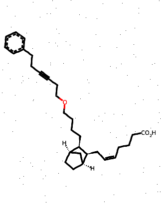 O=C(O)CCC/C=C\C[C@H]1[C@H]2CC[C@H](C2)[C@H]1CCCCOCCC#CCCc1ccccc1